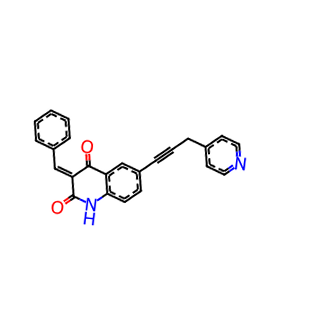 O=C1Nc2ccc(C#CCc3ccncc3)cc2C(=O)/C1=C\c1ccccc1